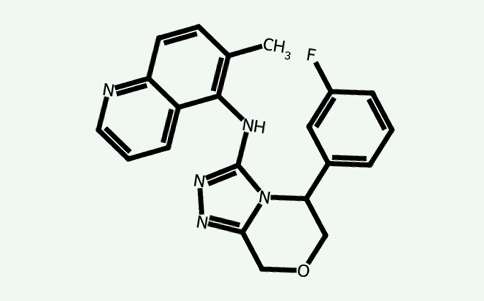 Cc1ccc2ncccc2c1Nc1nnc2n1C(c1cccc(F)c1)COC2